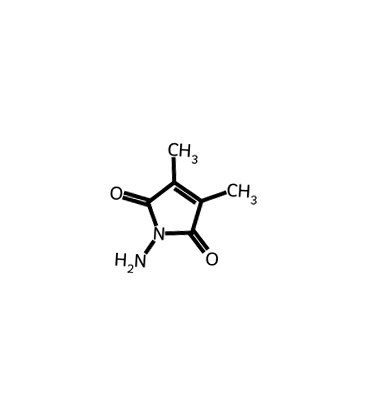 CC1=C(C)C(=O)N(N)C1=O